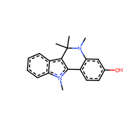 CN1c2cc(O)ccc2-c2c(c3ccccc3n2C)C1(C)C